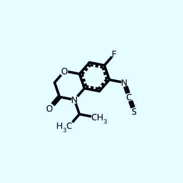 CC(C)N1C(=O)COc2cc(F)c(N=C=S)cc21